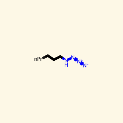 CCCCCCNN=[N+]=[N-]